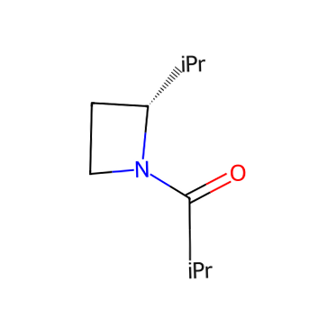 CC(C)C(=O)N1CC[C@@H]1C(C)C